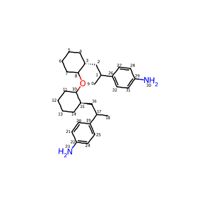 CC(C[C@H]1CCCCC1OC1CCCC[C@@H]1CC(C)c1ccc(N)cc1)c1ccc(N)cc1